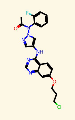 CC(=O)N(c1ccccc1F)n1cc(Nc2ncnc3cc(OCCCCl)ccc23)cn1